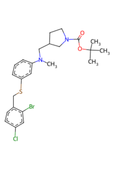 CN(CC1CCN(C(=O)OC(C)(C)C)C1)c1cccc(SCc2ccc(Cl)cc2Br)c1